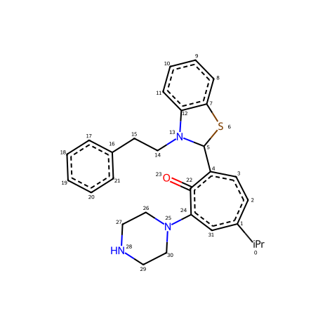 CC(C)c1ccc(C2Sc3ccccc3N2CCc2ccccc2)c(=O)c(N2CCNCC2)c1